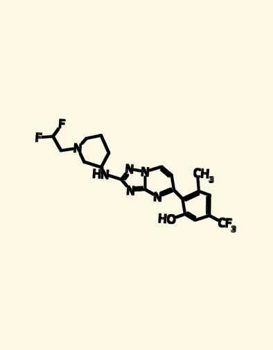 Cc1cc(C(F)(F)F)cc(O)c1-c1ccn2nc(N[C@@H]3CCCN(CC(F)F)C3)nc2n1